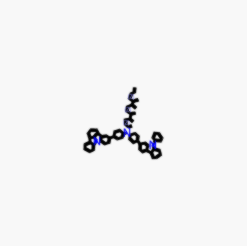 C=C/C=C\C(=C)C(=C)/C=C\C(=C)C(=C)/C=C\C(=C)N(c1ccc(-c2ccc3c(c2)c2cccc4c5ccccc5n3c42)cc1)C1C=CC(c2ccc3c4ccccc4n(-c4ccccc4)c3c2)=CC1